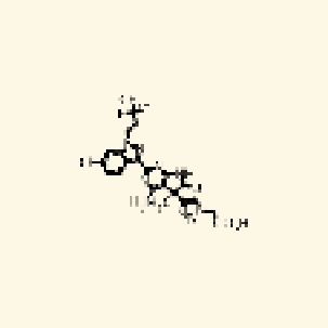 CC1(c2cn(CC(=O)O)nn2)C(=O)Nc2nc(-c3nn(CCC(F)(F)C(F)(F)F)c4cc(Cl)ccc34)nc(N)c21